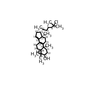 CC(CCCC(C)(C)Cl)[C@H]1CC=C2C3=C(CC[C@@]21C)[C@@]1(C)CC[C@H](O)C(C)(C)[C@@H]1CC3